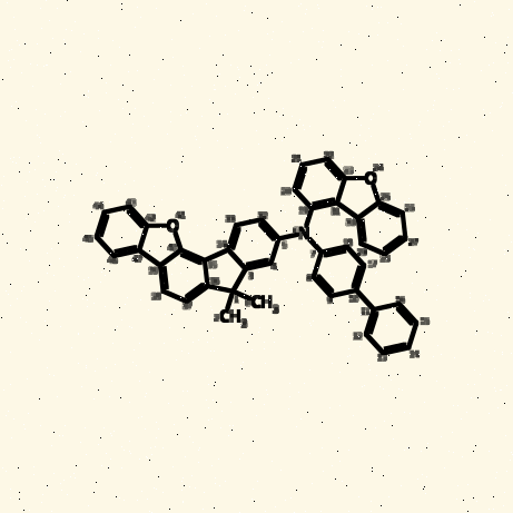 CC1(C)c2cc(N(c3ccc(-c4ccccc4)cc3)c3cccc4oc5ccccc5c34)ccc2-c2c1ccc1c2oc2ccccc21